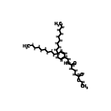 CCCCCCCCCC1(CCCCCCCCC)C=CC(CNC(=O)CCCC(=O)OCC)=CC1